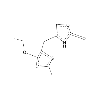 CCOc1cc(C)sc1Cc1coc(=O)[nH]1